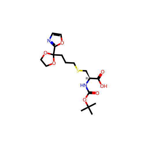 CC(C)(C)OC(=O)N[C@@H](CSCCCC1(c2ncco2)OCCO1)C(=O)O